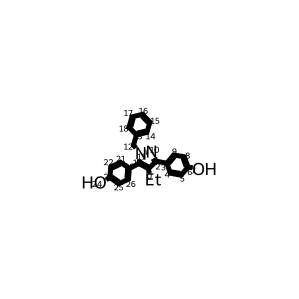 CCc1c(-c2ccc(O)cc2)nn(Cc2ccccc2)c1-c1ccc(O)cc1